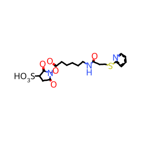 O=C(CCSc1ccccn1)NCCCCCC(=O)ON1C(=O)CC(S(=O)(=O)O)C1=O